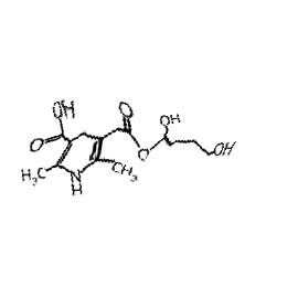 CC1=C(C(=O)O)CC(C(=O)OC(O)CCCO)=C(C)N1